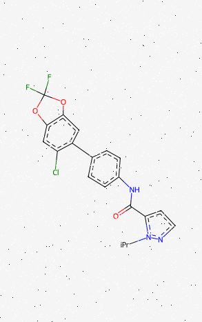 CC(C)n1nccc1C(=O)Nc1ccc(-c2cc3c(cc2Cl)OC(F)(F)O3)cc1